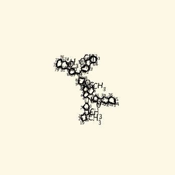 CC1(C)CCc2c(N(c3ccc4c(c3)C(C)(C)c3ccccc3-4)c3ccc4c(c3)oc3cc5ccccc5cc34)ccc3cc4c(oc5cc([C@@H](c6ccc7c(c6)C(C)(C)c6ccccc6-7)c6ccc7c(c6)oc6cc8ccccc8cc67)ccc54)c1c23